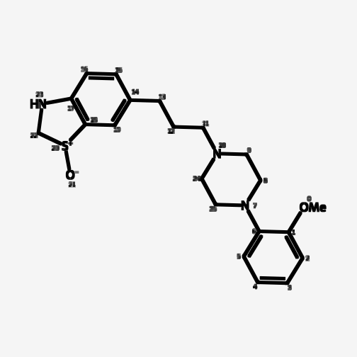 COc1ccccc1N1CCN(CCCc2ccc3c(c2)[S+]([O-])CN3)CC1